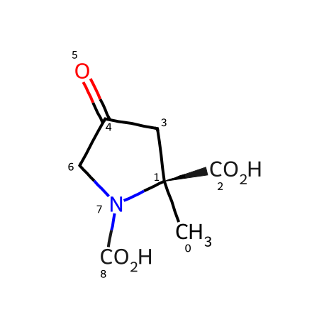 C[C@@]1(C(=O)O)CC(=O)CN1C(=O)O